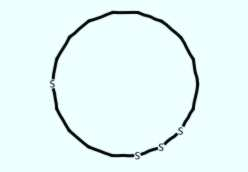 C1CCCCCSSSCCCCSCCCC1